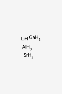 [AlH3].[GaH3].[LiH].[SrH2]